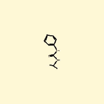 CC(C)NC(=S)Nc1ccccc1